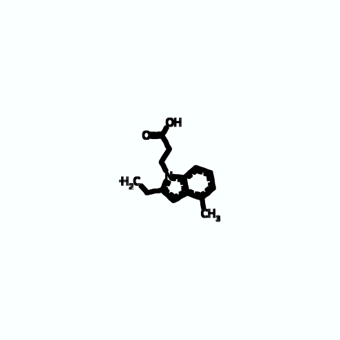 [CH2]Cc1cc2c(C)cccc2n1CCC(=O)O